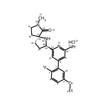 CCOc1ccc(F)c(-c2cc(C(C)C)nc([C@H]3CC[C@@]4(CCN(C)C4=O)N3)c2)c1.Cl